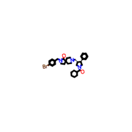 O=C(C1CCCCC1)N1C[C@H](CN2CCC3(CC2)CCN(Cc2ccc(Br)cc2)C3=O)[C@@H](c2ccccc2)C1